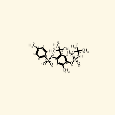 Cc1ccc(S(=O)(=O)Sc2cc(C)c(OS(=O)(=O)NC(C)(C)C)cc2C(C)(C)C)cc1